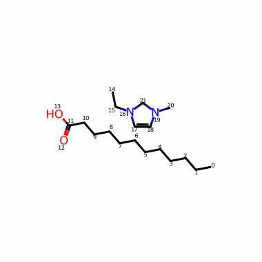 CCCCCCCCCCCC(=O)O.CCN1C=CN(C)C1